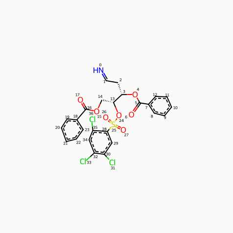 N=CC[C@H](OC(=O)c1ccccc1)[C@@H](COC(=O)c1ccccc1)OS(=O)(=O)c1cc(Cl)c(Cl)cc1Cl